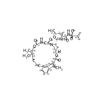 C=CC1C[C@]1(NC(=O)[C@@H]1C[C@@H]2CN1C(=O)CNC(=O)OCC(C)(C)CCCCc1cccc3c1cc(n3C)C(=O)O2)C(=O)NS(=O)(=O)C1CC1